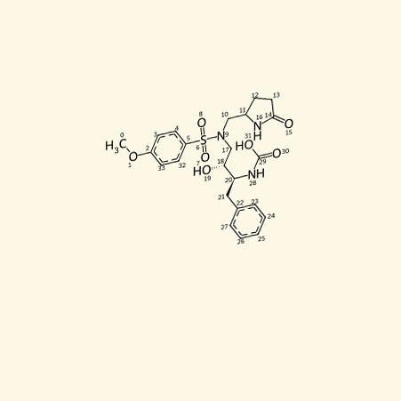 COc1ccc(S(=O)(=O)N(CC2CCC(=O)N2)C[C@@H](O)[C@H](Cc2ccccc2)NC(=O)O)cc1